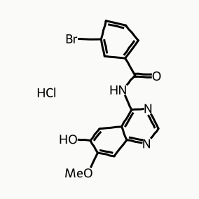 COc1cc2ncnc(NC(=O)c3cccc(Br)c3)c2cc1O.Cl